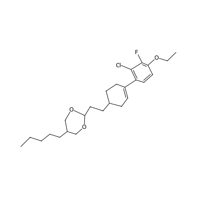 CCCCCC1COC(CCC2CC=C(c3ccc(OCC)c(F)c3Cl)CC2)OC1